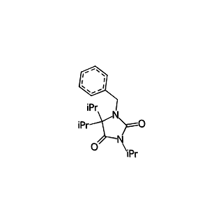 CC(C)N1C(=O)N(Cc2ccccc2)C(C(C)C)(C(C)C)C1=O